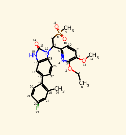 CCOc1nc(C(CS(C)(=O)=O)n2c(=O)[nH]c3cc(-c4ccc(F)cc4C)ccc32)ccc1OC